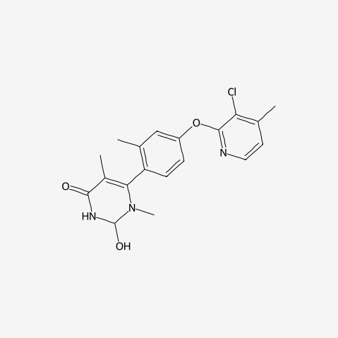 CC1=C(c2ccc(Oc3nccc(C)c3Cl)cc2C)N(C)C(O)NC1=O